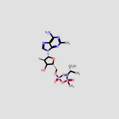 CCOC(=O)[C@H](C)NP(C)(=O)OP(=O)(OC)OC[C@H]1O[C@@H](n2cnc3c(N)nc(C)nc32)[C@H](F)C1O